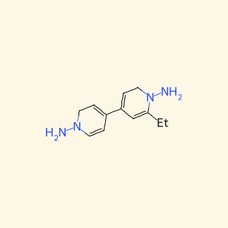 CCC1=CC(C2=CCN(N)C=C2)=CCN1N